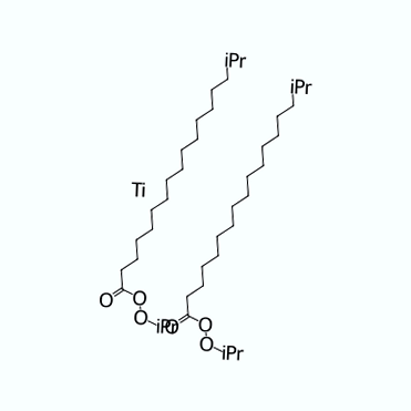 CC(C)CCCCCCCCCCCCCCC(=O)OOC(C)C.CC(C)CCCCCCCCCCCCCCC(=O)OOC(C)C.[Ti]